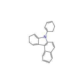 C1=CCCC(n2c3c(c4c5ccccc5ccc42)=CCCC=3)=C1